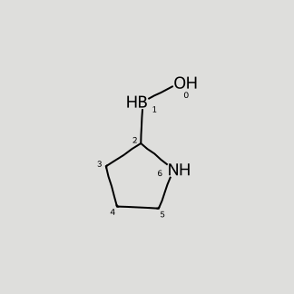 OBC1CCCN1